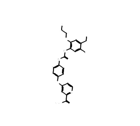 CNC(=O)c1cc(Oc2ccc(NC(=O)Nc3cc(C)c(CI)cc3OCCN)cc2)ccn1